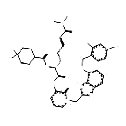 CN(C)C(=O)/C=C/CC[C@H](NC(=O)C1CCC(F)(F)CC1)C(=O)Nc1cccn(Cc2nc3cccc(OCc4ccc(F)cc4F)c3[nH]2)c1=O